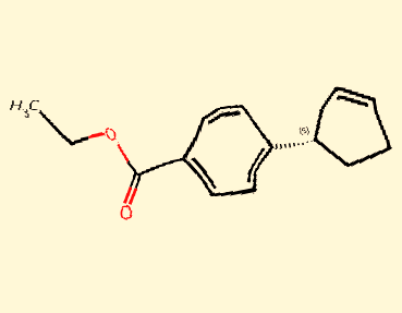 CCOC(=O)c1ccc([C@@H]2C=CCC2)cc1